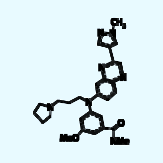 CNC(=O)c1cc(OC)cc(N(CCCN2CCCC2)c2ccc3ncc(-c4cnn(C)c4)nc3c2)c1